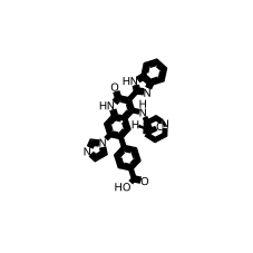 O=C(O)c1ccc(-c2cc3c(N[C@@H]4CN5CCC4CC5)c(-c4nc5ccccc5[nH]4)c(=O)[nH]c3cc2-n2ccnc2)cc1